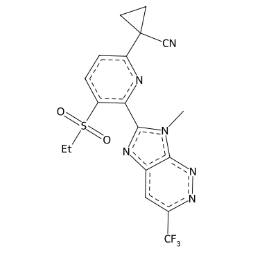 CCS(=O)(=O)c1ccc(C2(C#N)CC2)nc1-c1nc2cc(C(F)(F)F)nnc2n1C